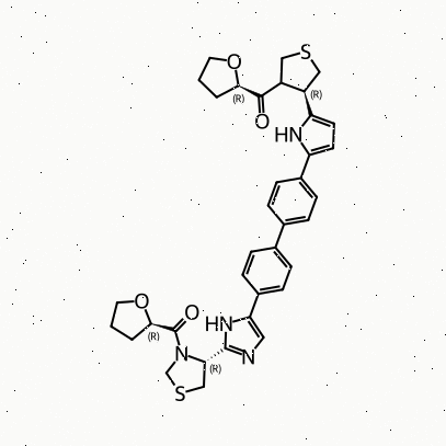 O=C(C1CSC[C@H]1c1ccc(-c2ccc(-c3ccc(-c4cnc([C@@H]5CSCN5C(=O)[C@H]5CCCO5)[nH]4)cc3)cc2)[nH]1)[C@H]1CCCO1